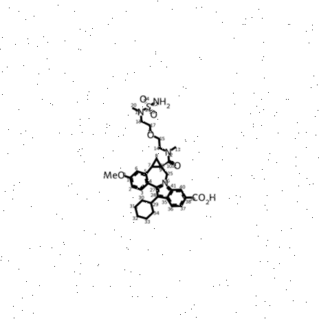 COc1ccc2c(c1)C1C[C@]1(C(=O)N(C)CCOCCN(C)S(N)(=O)=O)Cn1c-2c(C2CCCCC2)c2ccc(C(=O)O)cc21